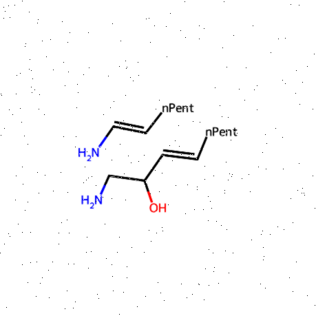 CCCCCC=CC(O)CN.CCCCCC=CN